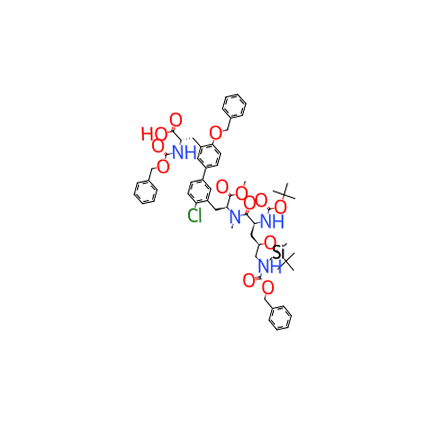 COC(=O)[C@H](Cc1cc(-c2ccc(OCc3ccccc3)c(C[C@H](NC(=O)OCc3ccccc3)C(=O)O)c2)ccc1Cl)N(C)C(=O)[C@H](C[C@H](CNC(=O)OCc1ccccc1)O[Si](C)(C)C(C)(C)C)NC(=O)OC(C)(C)C